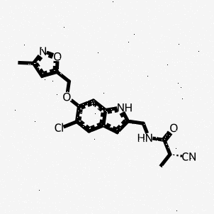 Cc1cc(COc2cc3[nH]c(CNC(=O)[C@@H](C)C#N)cc3cc2Cl)on1